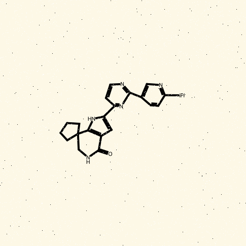 CC(C)c1ccc(-c2nccc(-c3cc4c([nH]3)C3(CCCC3)CNC4=O)n2)cn1